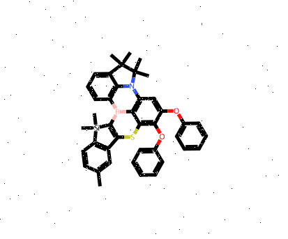 Cc1ccc2c(c1)C1=C(B3c4cccc5c4N(c4cc(Oc6ccccc6)c(Oc6ccccc6)c(c43)S1)C(C)(C)C5(C)C)[Si]2(C)C